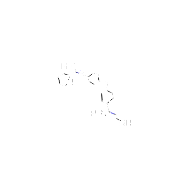 C/C(=B\c1ccc(Oc2ccc(/C(N)=C/C=N)cc2)cc1)c1ccccn1